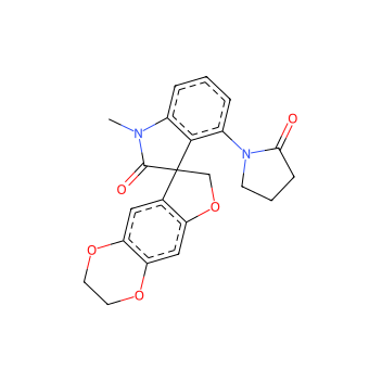 CN1C(=O)C2(COc3cc4c(cc32)OCCO4)c2c1cccc2N1CCCC1=O